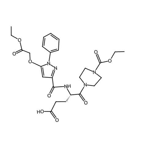 CCOC(=O)COc1cc(C(=O)N[C@@H](CCC(=O)O)C(=O)N2CCN(C(=O)OCC)CC2)nn1-c1ccccc1